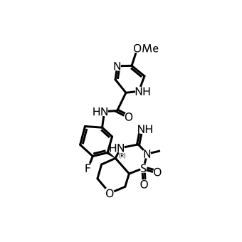 COC1=CNC(C(=O)Nc2ccc(F)c([C@]34CCOCC3S(=O)(=O)N(C)C(=N)N4)c2)C=N1